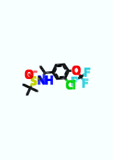 CC(N[S@+]([O-])C(C)(C)C)c1ccc(OC(F)(F)F)c(Cl)c1